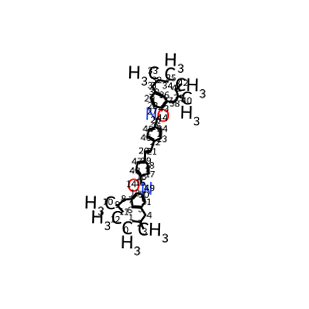 CCC(C)Cc1cc(CC(C)CC)c2oc(-c3ccc(C=Cc4ccc(-c5nc6cc(CC(C)CC)cc(CC(C)CC)c6o5)cc4)cc3)nc2c1